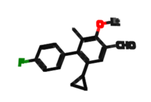 CCOc1c(C=O)cc(C2CC2)c(-c2ccc(F)cc2)c1C